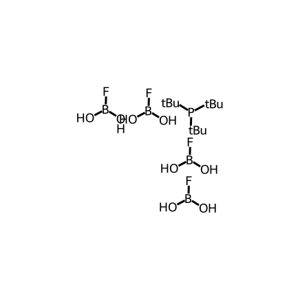 CC(C)(C)P(C(C)(C)C)C(C)(C)C.OB(O)F.OB(O)F.OB(O)F.OB(O)F